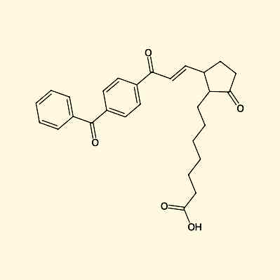 O=C(O)CCCCCCC1C(=O)CCC1C=CC(=O)c1ccc(C(=O)c2ccccc2)cc1